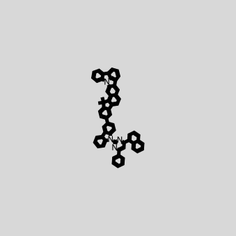 CC1(C)c2ccc(-c3ccc4c(c3)c3ccccc3n4-c3nc(-c4ccccc4)cc(-c4cccc5ccccc45)n3)cc2-c2ccc3cc4c5cccc6c7ccccc7n(c4cc3c21)c65